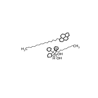 CCCCCCCCCC(=O)C(O)(C(O)CO)C(c1ccccc1)(c1ccccc1)c1ccccc1.CCCCCCCCCCCCCCCCc1ccc2ccc3cccc4ccc1c2c34